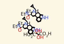 CCN(CC)C(=O)[C@@H]1C=C2c3cccc4[nH]cc(c34)C[C@H]2N(CC2CC2)C1.CCN(CC)C(=O)[C@@H]1C=C2c3cccc4[nH]cc(c34)C[C@H]2N(CC2CC2)C1.O=C(O)C(O)C(O)C(=O)O